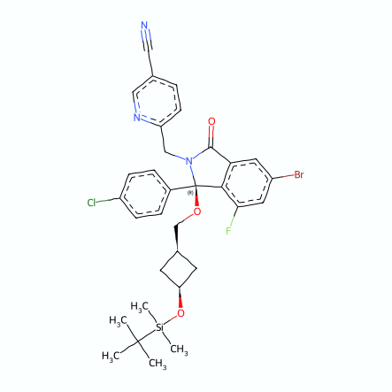 CC(C)(C)[Si](C)(C)O[C@H]1C[C@@H](CO[C@]2(c3ccc(Cl)cc3)c3c(F)cc(Br)cc3C(=O)N2Cc2ccc(C#N)cn2)C1